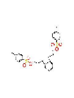 Cc1ccc(S(=O)(=O)OCCCc2ccccc2CCCOS(=O)(=O)c2ccc(C)cc2)cc1